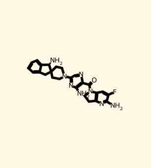 Nc1nc2c(cc1F)N(C(=O)c1ncc(N3CCC4(CC3)Cc3ccccc3[C@H]4N)nc1N)CC2